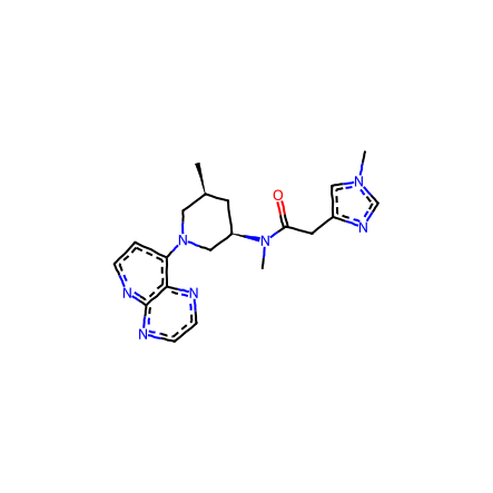 C[C@H]1C[C@@H](N(C)C(=O)Cc2cn(C)cn2)CN(c2ccnc3nccnc23)C1